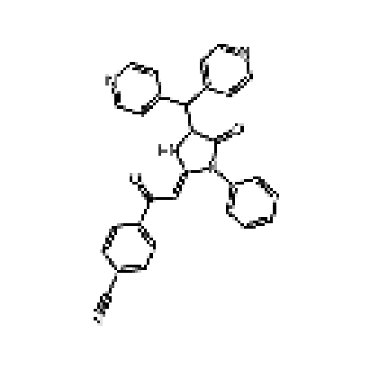 N#Cc1ccc(C(=O)C=C2NC(C(c3ccncc3)c3ccncc3)C(=O)N2c2ccccc2)cc1